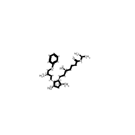 CC(C)OC(=O)CCC[C@H](S)CC[C@@H]1[C@@H](CC[C@@H](C)COc2ccccc2)[C@H](O)C[C@@H]1C